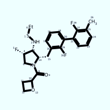 CCSN[C@H]1[C@@H](F)CN(C(=O)C2CCO2)[C@H]1Cc1cccc(-c2cccc(C)c2F)c1F